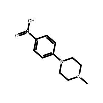 CN1CCN(c2ccc([N+](=O)O)cc2)CC1